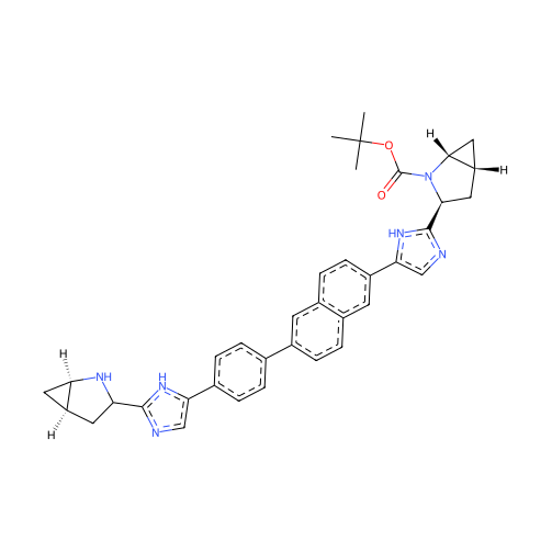 CC(C)(C)OC(=O)N1[C@@H]2C[C@@H]2C[C@H]1c1ncc(-c2ccc3cc(-c4ccc(-c5cnc(C6C[C@H]7C[C@H]7N6)[nH]5)cc4)ccc3c2)[nH]1